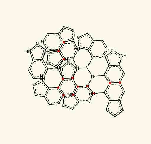 c1cc2c(NN(c3nccc4cncn34)N(c3nncc4[nH]ncc34)N(c3nncc4cn[nH]c34)N(c3ncnc4[nH]ncc34)N(c3ncnc4cn[nH]c34)N(c3nccc4cn[nH]c34)N(Nc3nncc4cccn34)c3nccc4[nH]ncc34)nncn2c1